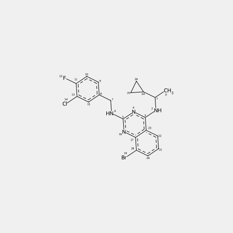 CC(Nc1nc(NCc2ccc(F)c(Cl)c2)nc2c(Br)cccc12)C1CC1